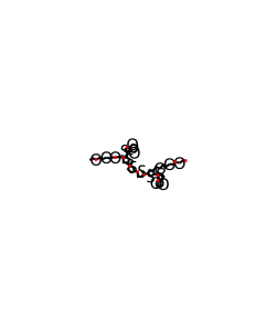 CCOCCOCCOCC1CC(C2=CCC(C3CCC(C4CC(COCCOCCOCC)C(c5scc6c5OCCO6)S4)S3)S2)SC1c1scc2c1OCCO2